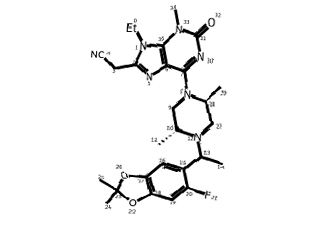 CCn1c(CC#N)nc2c(N3C[C@@H](C)N(C(C)c4cc5c(cc4F)OC(C)(C)O5)C[C@@H]3C)nc(=O)n(C)c21